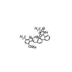 CCCCc1nc2c(C)ccc(OC)c2n1Cc1ccc(-c2ccccc2C(=O)NS(C)(=O)=O)cc1